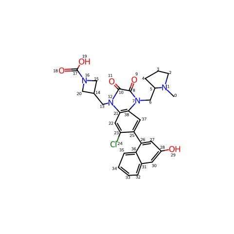 CN1CCCC1Cn1c(=O)c(=O)n(CC2CN(C(=O)O)C2)c2cc(Cl)c(-c3cc(O)cc4ccccc34)cc21